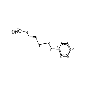 O=[C]CC=CCCCc1ccccc1